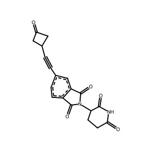 O=C1CC(C#Cc2ccc3c(c2)C(=O)N(C2CCC(=O)NC2=O)C3=O)C1